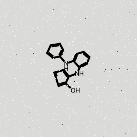 Oc1ccccc1Nc1ccccc1Nc1ccccc1